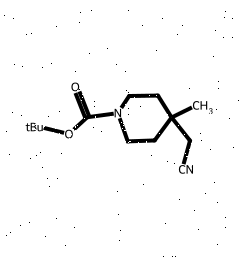 CC1(CC#N)CCN(C(=O)OC(C)(C)C)CC1